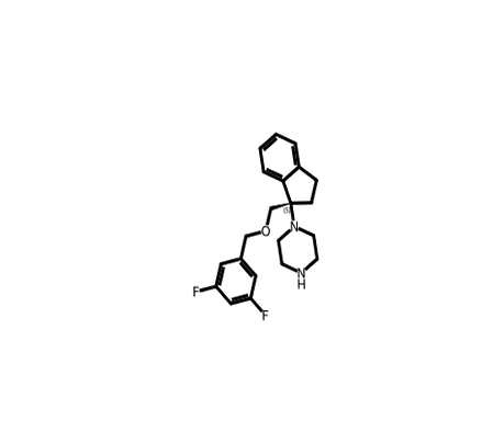 Fc1cc(F)cc(COC[C@]2(N3CCNCC3)CCc3ccccc32)c1